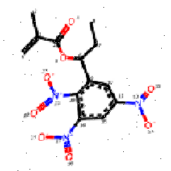 C=C(C)C(=O)OC(CC)c1cc([N+](=O)[O-])cc([N+](=O)[O-])c1[N+](=O)[O-]